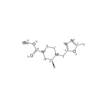 Cc1nnc(CN2CCN(C(=O)OC(C)(C)C)C[C@@H]2C)o1